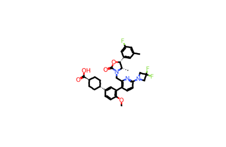 COc1ccc([C@H]2CC[C@H](C(=O)O)CC2)cc1-c1ccc(N2CC(F)(F)C2)nc1CN1C(=O)O[C@H](c2cc(C)cc(F)c2)[C@@H]1C